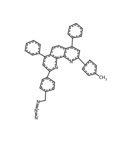 Cc1ccc(-c2cc(-c3ccccc3)c3ccc4c(-c5ccccc5)cc(-c5ccc(CN=[N+]=[N-])cc5)nc4c3n2)cc1